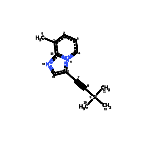 Cc1cccn2c(C#C[Si](C)(C)C)cnc12